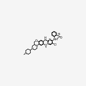 COc1cc2c(cc1Nc1ncc(Cl)c(Nc3ccccc3[SH](C)(C)=O)n1)OCC1CN(C3CCN(C)CC3)CCN21